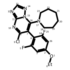 CCOc1cc(F)c(-c2c(Cl)nc3ncnn3c2N2CCCCCC2)c(F)c1